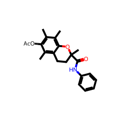 CC(=O)Oc1c(C)c(C)c2c(c1C)CCC(C)(C(=O)Nc1ccccc1)O2